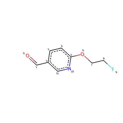 O=Cc1ccc(OCCF)nc1